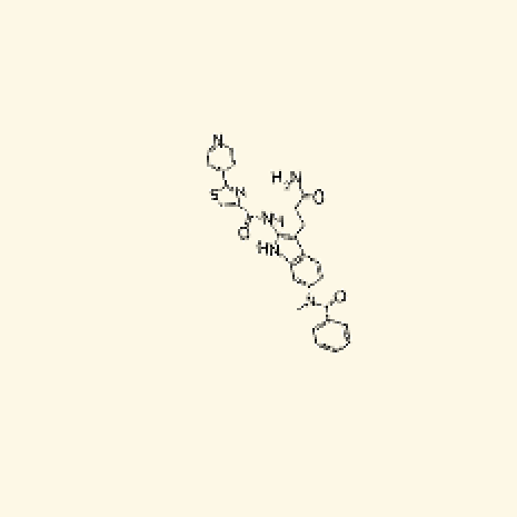 CN(C(=O)c1ccccc1)c1ccc2c(CCC(N)=O)c(NC(=O)c3csc(-c4ccncc4)n3)[nH]c2c1